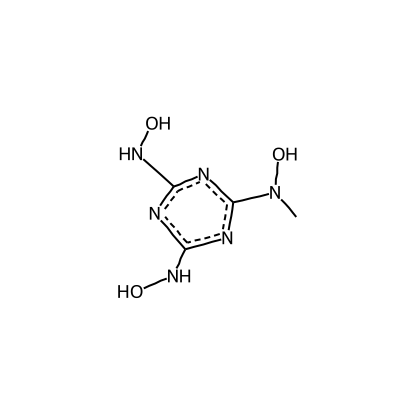 CN(O)c1nc(NO)nc(NO)n1